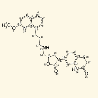 COc1ccc2nccc(CCCNC[C@@H]3CN(c4ccc5c(c4)NC(=O)CS5)C(=O)O3)c2n1